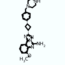 COc1cccc2c1nc(N)n1nc([C@H]3C[C@@H](c4ccc(CN5CCNCC5)cc4)C3)nc21